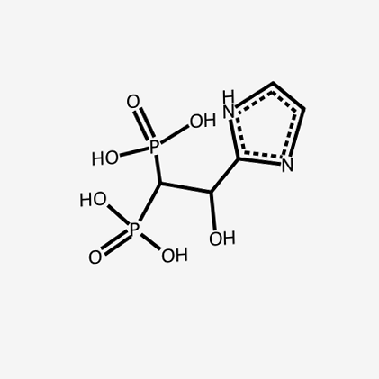 O=P(O)(O)C(C(O)c1ncc[nH]1)P(=O)(O)O